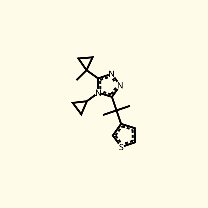 CC1(c2nnc(C(C)(C)c3ccsc3)n2C2CC2)CC1